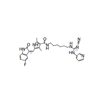 Cc1[nH]c(/C=C2\C(=O)Nc3ccc(F)cc32)c(C)c1C(=O)NCCCCCCN/C(=N\C#N)Nc1cccnc1